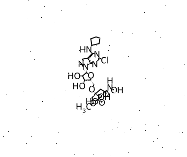 COCC(CC(=O)NO)(OC[C@H]1O[C@@H](n2ncc3c(NC4CCCC4)nc(Cl)nc32)[C@H](O)[C@@H]1O)P(=O)(O)O